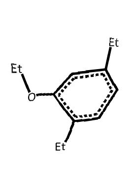 CCOc1cc(CC)ccc1CC